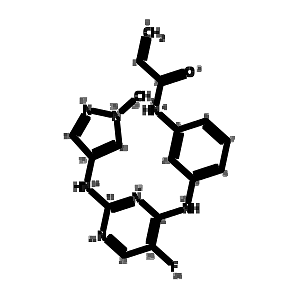 C=CC(=O)Nc1cccc(Nc2nc(Nc3cnn(C)c3)ncc2F)c1